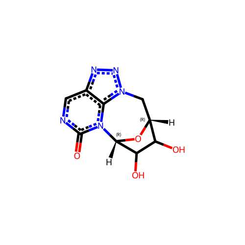 O=c1ncc2nnn3c2n1[C@@H]1O[C@H](C3)C(O)C1O